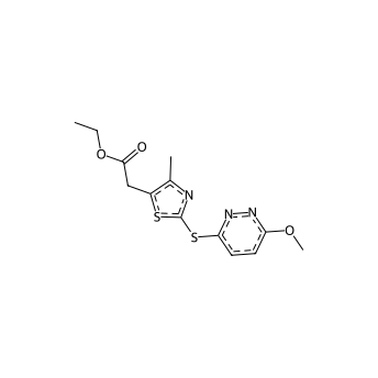 CCOC(=O)Cc1sc(Sc2ccc(OC)nn2)nc1C